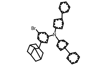 Brc1cc(N(c2ccc(-c3ccccc3)cc2)c2ccc(-c3ccccc3)cc2)cc(C23CC4CC(CC(C4)C2)C3)c1